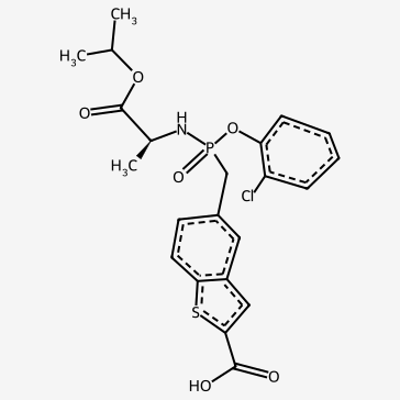 CC(C)OC(=O)[C@H](C)NP(=O)(Cc1ccc2sc(C(=O)O)cc2c1)Oc1ccccc1Cl